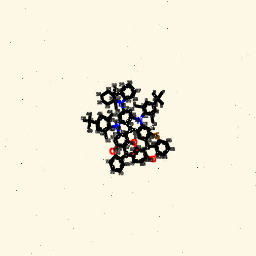 Cc1cc(C(C)(C)C)cc(C)c1N1c2cc3c(cc2B2c4c1cc(N1c5ccccc5C5(C)CCCCC15C)cc4N(c1c(C)cc(C(C)(C)C)cc1C)c1cc4c5c(c12)Oc1ccccc1B5c1ccccc1O4)B1c2ccccc2Oc2cccc(c21)S3